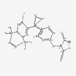 Cc1cc2c(cc1C1(c3ccc(CN4C(=O)CNC4=O)cn3)CC1)C(C)(C)C=CC2(C)C